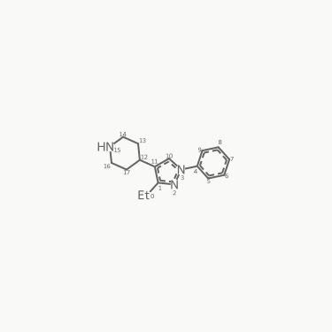 CCc1nn(-c2ccccc2)cc1C1CCNCC1